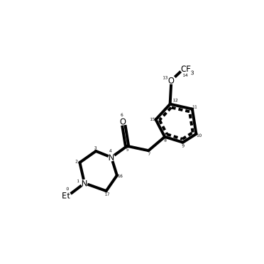 CCN1CCN(C(=O)Cc2cccc(OC(F)(F)F)c2)CC1